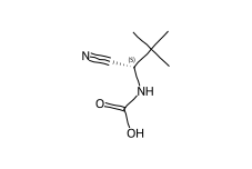 CC(C)(C)[C@@H](C#N)NC(=O)O